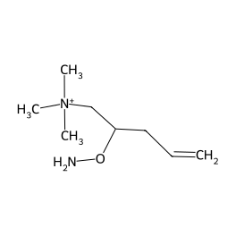 C=CCC(C[N+](C)(C)C)ON